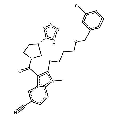 Cn1c(CCCCOCc2cccc(Cl)c2)c(C(=O)N2CC[C@H](c3nnn[nH]3)C2)c2cc(C#N)cnc21